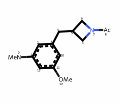 CNc1cc(CC2CN(C(C)=O)C2)cc(OC)c1